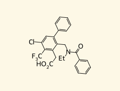 CCN(Cc1c(-c2ccccc2)cc(Cl)c(C(F)(F)F)c1CC(=O)O)C(=O)c1ccccc1